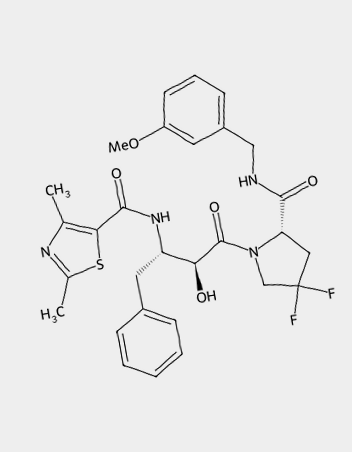 COc1cccc(CNC(=O)[C@@H]2CC(F)(F)CN2C(=O)[C@@H](O)[C@H](Cc2ccccc2)NC(=O)c2sc(C)nc2C)c1